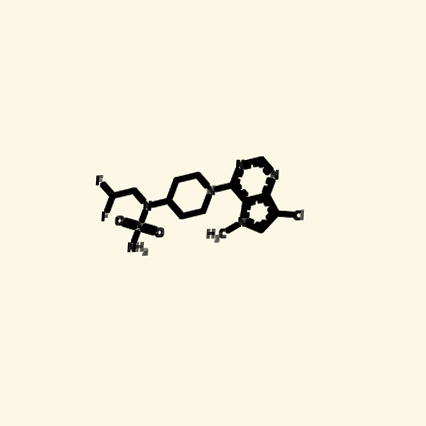 Cn1cc(Cl)c2ncnc(N3CCC(N(CC(F)F)S(N)(=O)=O)CC3)c21